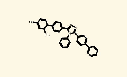 CC1C=C(C(C)(C)C)C=CC1c1ccc(-c2nnc(-c3ccc(-c4ccccc4)cc3)n2-c2ccccc2)cc1